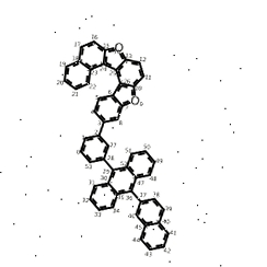 c1cc(-c2ccc3c(c2)oc2ccc4oc5ccc6ccccc6c5c4c23)cc(-c2c3ccccc3c(-c3ccc4ccccc4c3)c3ccccc23)c1